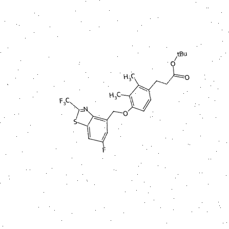 Cc1c(CCC(=O)OC(C)(C)C)ccc(OCc2cc(F)cc3sc(C(F)(F)F)nc23)c1C